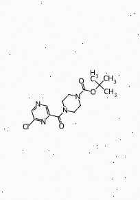 CC(C)(C)OC(=O)N1CCN(C(=O)c2cncc(Cl)n2)CC1